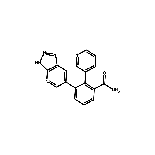 NC(=O)c1cccc(-c2cnc3[nH]ncc3c2)c1-c1cccnc1